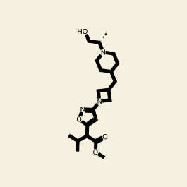 COC(=O)C(c1cc(N2CC(CC3CCN([C@@H](C)CO)CC3)C2)no1)C(C)C